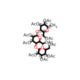 CC(=O)OCC1O[C@@H](O[C@@H]2C(COC(C)=O)O[C@@H](O[C@@H]3C(COC(C)=O)O[C@@H](C)C(OC(C)=O)[C@@H]3OC(C)=O)C(OC(C)=O)[C@@H]2OC(C)=O)C(OC(C)=O)[C@H](OC(C)=O)[C@@H]1OC(C)=O